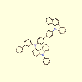 C1=CC(c2ccc(-n3c4ccccc4c4ccc5ccccc5c43)cc2)CC=C1N(c1cccc(-c2ccccc2)c1)c1cccc2c1c1ccccc1n2-c1ccccc1